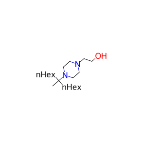 CCCCCCC(C)(CCCCCC)N1CCN(CCO)CC1